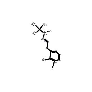 CC(C)(C)[S@@+]([O-])/N=C/Cc1cccc(F)c1Br